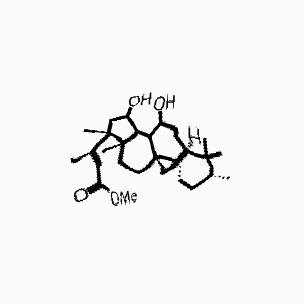 COC(=O)C[C@@H](C)[C@]1(C)CC(O)C2C3C(O)C[C@H]4C(C)(C)[C@H](C)CC[C@@]45C[C@@]35CC[C@@]21C